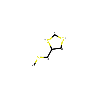 CSCC1CS[CH]S1